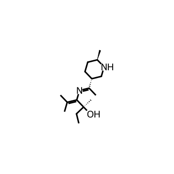 CC[C@](C)(O)C(/N=C(\C)[C@@H]1CC[C@@H](C)NC1)=C(C)C